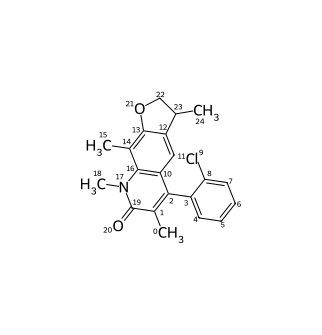 Cc1c(-c2ccccc2Cl)c2cc3c(c(C)c2n(C)c1=O)OCC3C